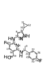 CC(Nc1nc(Nc2cc(C3CC3)[nH]n2)c(F)cc1CO)c1ccc(F)cc1